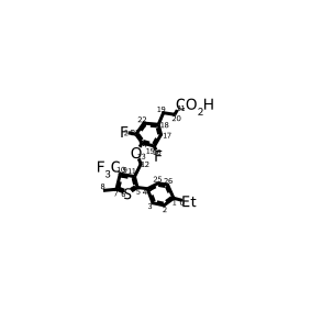 CCc1ccc(-c2sc(C)c(C(F)(F)F)c2COc2c(F)cc(CCC(=O)O)cc2F)cc1